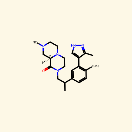 COc1ccc(C(C)CN2CCN3CCN(C#N)C[C@@H]3C2=O)cc1-c1c[nH]nc1C